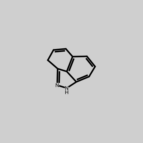 C1=Cc2cccc3[nH]nc(c23)C1